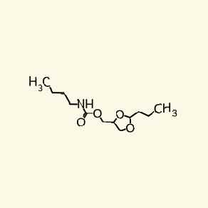 CCCCNC(=O)OCC1COC(CCC)O1